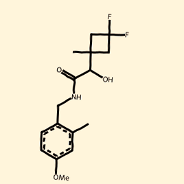 COc1ccc(CNC(=O)C(O)C2(C)CC(F)(F)C2)c(C)c1